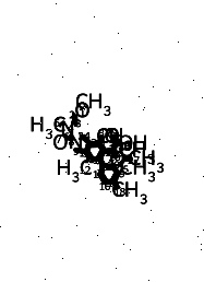 COCCN(C)C(=O)N1Cc2c(C)c(-c3ccc(C)cc3)c(C(OC(C)(C)C)C(=O)O)c(C)c2C1